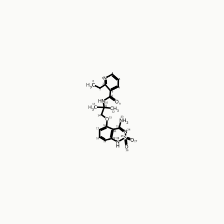 CCc1ncccc1C(=O)NC(C)(C)COc1cccc2c1C(N)=NS(=O)(=O)N2